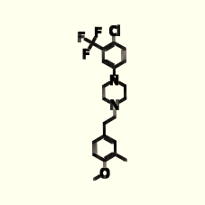 COc1ccc(CCN2CCN(c3ccc(Cl)c(C(F)(F)F)c3)CC2)cc1C